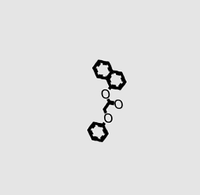 O=C(COc1ccccc1)Oc1cccc2ccccc12